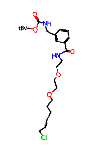 CC(C)(C)OC(=O)NCc1cccc(C(=O)NCCOCCOCCCCCCCl)c1